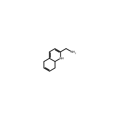 NCC1=CC=C2CC=CCC2N1